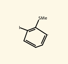 CSc1[c]cccc1I